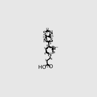 O=C(O)CC[n+]1ccc(-c2nc3scnc3s2)cc1.[Br-]